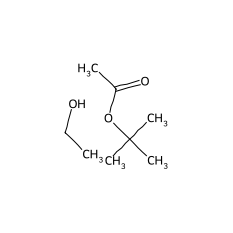 CC(=O)OC(C)(C)C.CCO